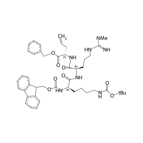 C=CC[C@H](NC(=O)[C@@H](CCCNC(=N)NC)NC(=O)[C@@H](CCCCNC(=O)OC(C)(C)C)NC(=O)OCC1c2ccccc2-c2ccccc21)C(=O)OCc1ccccc1